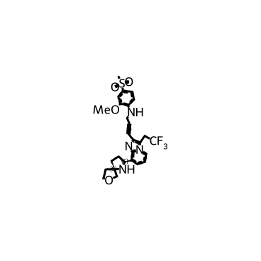 COc1cc(S(C)(=O)=O)ccc1NCC#Cc1nc2c([C@@H]3CC[C@@]4(CCOC4)N3)cccn2c1CC(F)(F)F